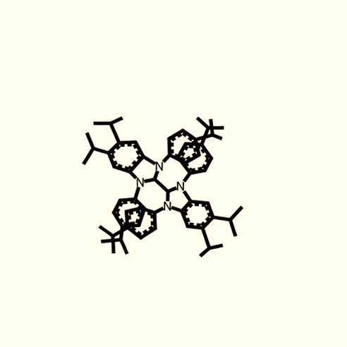 CC(C)c1ccc(N2c3cc(C(C)C)c(C(C)C)cc3N(c3ccc(C(C)C)cc3)C2C2N(c3ccc(C(C)C)cc3)c3cc(C(C)C)c(C(C)C)cc3N2c2ccc(C(C)C)cc2)cc1